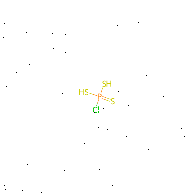 S=P(S)(S)Cl